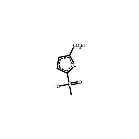 CCOC(=O)c1ccc(P(C)(=O)O)o1